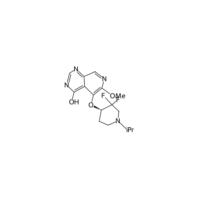 COc1ncc2ncnc(O)c2c1O[C@@H]1CCN(C(C)C)CC1(F)F